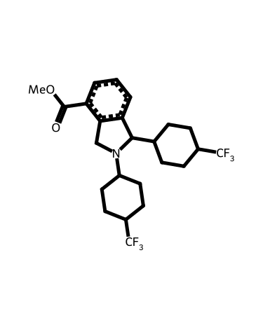 COC(=O)c1cccc2c1CN(C1CCC(C(F)(F)F)CC1)C2C1CCC(C(F)(F)F)CC1